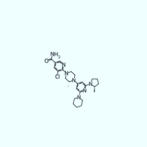 C[C@@H]1CN(c2ncc(C(N)=O)cc2Cl)CCN1c1cc(N2CCCCC2)nc(N2CCC[C@H]2C)c1